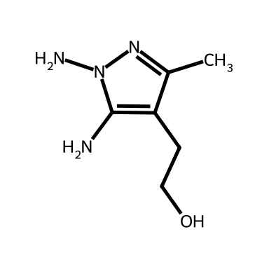 Cc1nn(N)c(N)c1CCO